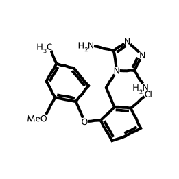 COc1cc(C)ccc1Oc1cccc(Cl)c1Cn1c(N)nnc1N